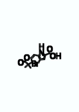 CC1(C)C/C(=C\c2[nH]c(C(=O)O)cc2Br)OC1=O